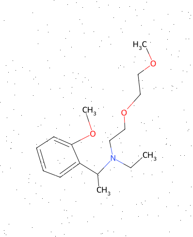 CCN(CCOCCOC)C(C)c1ccccc1OC